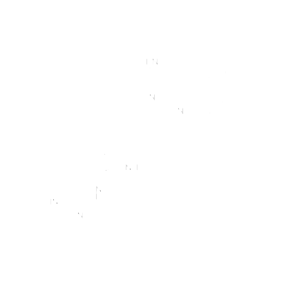 Nc1cc(C2(SO)CC2)nc(-c2ccc(NC(=O)NCc3ncc[nH]3)cc2)n1